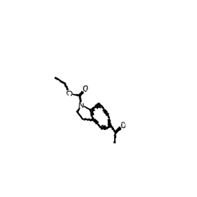 CCOC(=O)N1CCc2cc(C(C)=O)ccc21